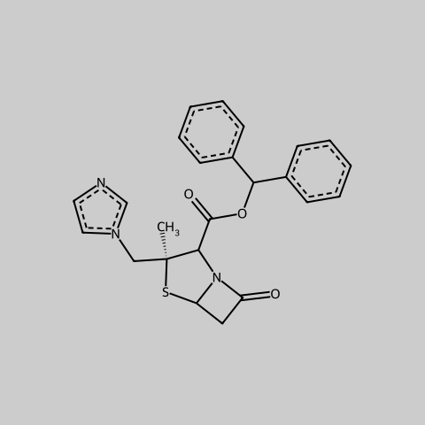 C[C@@]1(Cn2ccnc2)SC2CC(=O)N2C1C(=O)OC(c1ccccc1)c1ccccc1